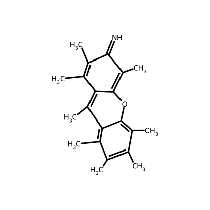 Cc1c2c(C)c3c(C)c(C)c(C)c(C)c3oc-2c(C)c(=N)c1C